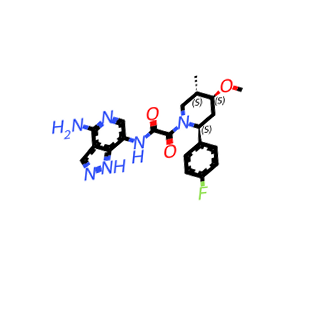 CO[C@H]1C[C@@H](c2ccc(F)cc2)N(C(=O)C(=O)Nc2cnc(N)c3cn[nH]c23)C[C@@H]1C